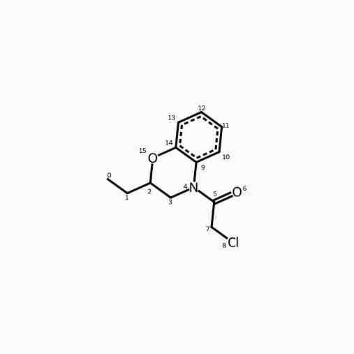 CCC1CN(C(=O)CCl)c2ccccc2O1